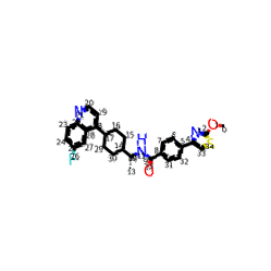 COc1nc(-c2ccc(C(=O)N[C@H](C)C3CCC(c4ccnc5ccc(F)cc45)CC3)cc2)cs1